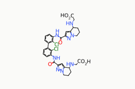 O=C(O)CNC1CCCn2nc(C(=O)Nc3cccc(-c4cccc(NC(=O)c5cc6n(n5)CCCC6NCC(=O)O)c4Cl)c3Cl)cc21